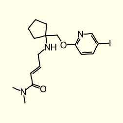 CN(C)C(=O)/C=C/CNC1(COc2ccc(I)cn2)CCCC1